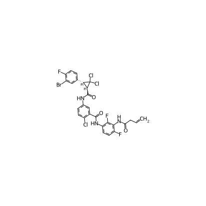 C=CCC(=O)Nc1c(F)ccc(NC(=O)c2cc(NC(=O)[C@H]3[C@H](c4ccc(F)c(Br)c4)C3(Cl)Cl)ccc2Cl)c1F